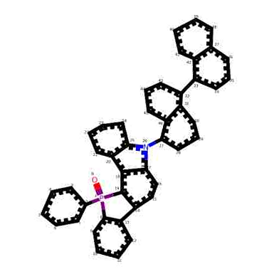 O=P1(c2ccccc2)c2ccccc2-c2ccc3c(c21)c1ccccc1n3-c1cccc2c(-c3cccc4ccccc34)cccc12